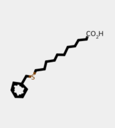 O=C(O)CCCCCCCCCCSCc1ccccc1